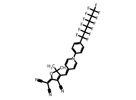 CC1(C)OC(=C(C#N)C#N)C(C#N)=C1C=C1C=CN(c2ccc(C(F)(F)C(F)(F)C(F)(F)C(F)(F)C(F)(F)C(F)(F)F)cc2)C=C1